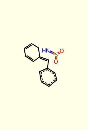 C1=CCC(=Cc2ccccc2)C=C1.N=S(=O)=O